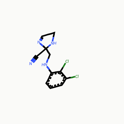 N#CC1(CNc2cccc(Cl)c2Cl)N=CCN1